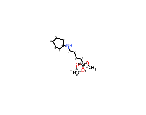 CO[Si](CCCCNC1CCCCC1)(OC)OC